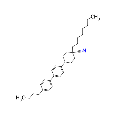 CCCCCCCCC1(C#N)CCC(c2ccc(-c3ccc(CCCC)cc3)cc2)CC1